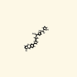 O=C(Nc1ccc(C(O)N2CC(c3ncc(-c4ccc(Cn5[nH]ccc5=O)cc4)s3)C2)s1)[C@@H]1CCCN1